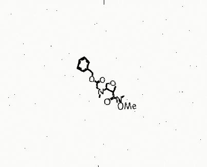 CON(C)C(=O)C1COCC1N(C)CC(=O)OCc1ccccc1